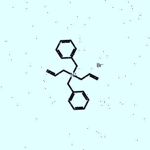 C=CC[N+](CC=C)(Cc1ccccc1)Cc1ccccc1.[Br-]